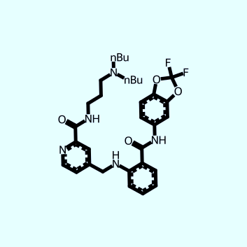 CCCCN(CCCC)CCCNC(=O)c1cc(CNc2ccccc2C(=O)Nc2ccc3c(c2)OC(F)(F)O3)ccn1